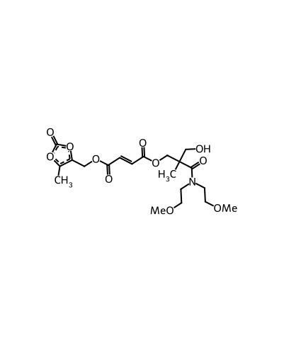 COCCN(CCOC)C(=O)C(C)(CO)COC(=O)/C=C/C(=O)OCc1oc(=O)oc1C